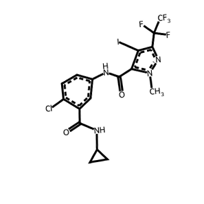 Cn1nc(C(F)(F)C(F)(F)F)c(I)c1C(=O)Nc1ccc(Cl)c(C(=O)NC2CC2)c1